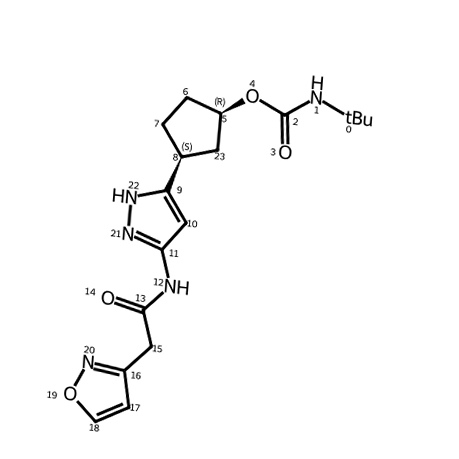 CC(C)(C)NC(=O)O[C@@H]1CC[C@H](c2cc(NC(=O)Cc3ccon3)n[nH]2)C1